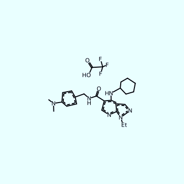 CCn1ncc2c(NC3CCCCC3)c(C(=O)NCc3ccc(N(C)C)cc3)cnc21.O=C(O)C(F)(F)F